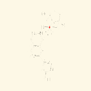 Cc1nnc(-c2cc3cc(NC(=O)N4[C@@H]5CC[C@H]4CC(N)C5)ncc3cn2)s1